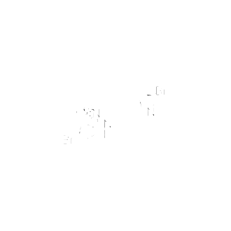 Cc1cc(Br)cnc1CCCCNC1=NS(=O)(=O)c2cc(Br)ccc21